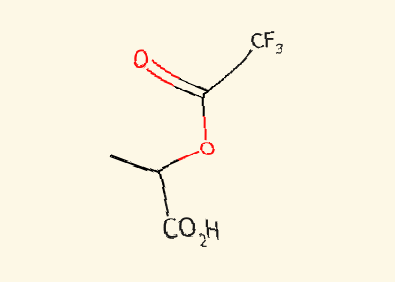 CC(OC(=O)C(F)(F)F)C(=O)O